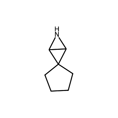 C1CCC2(C1)C1NC12